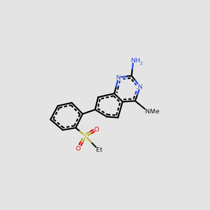 CCS(=O)(=O)c1ccccc1-c1ccc2c(NC)nc(N)nc2c1